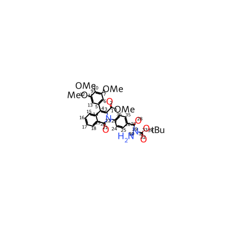 COC(=O)c1c(-c2cc(OC)c(OC)c(OC)c2)c2ccccc2c(=O)n1-c1ccc(C(=O)N(N)C(=O)OC(C)(C)C)cc1